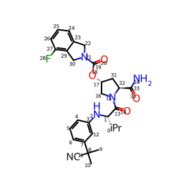 CC(C)[C@H](Nc1cccc(C(C)(C)C#N)c1)C(=O)N1C[C@H](OC(=O)N2Cc3cccc(F)c3C2)C[C@H]1C(N)=O